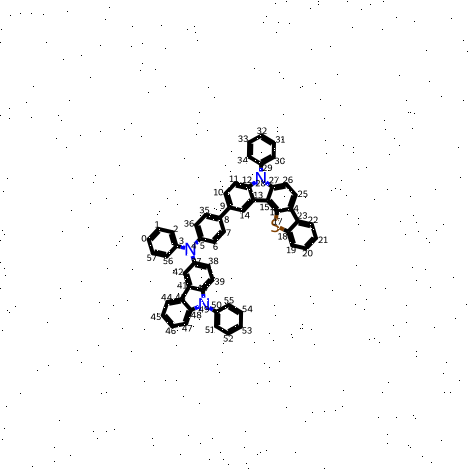 c1ccc(N(c2ccc(-c3ccc4c(c3)c3c5sc6ccccc6c5ccc3n4-c3ccccc3)cc2)c2ccc3c(c2)c2ccccc2n3-c2ccccc2)cc1